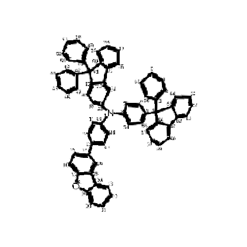 c1ccc(C2(c3ccc(N(c4ccc(-c5ccc6oc7ccccc7c6c5)cc4)c4ccc5c(c4)-c4ccccc4C5(c4ccccc4)c4ccccc4)cc3)c3ccccc3-c3ccccc32)cc1